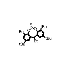 CCC1c2cc(C(C)(C)C)cc(C(C)(C)C)c2OP(F)Oc2c1cc(C(C)(C)C)cc2C(C)(C)C